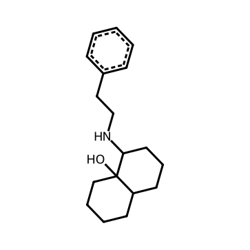 OC12CCCCC1CCCC2NCCc1ccccc1